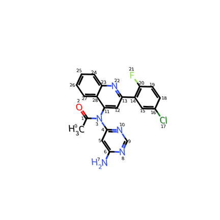 CC(=O)N(c1cc(N)ncn1)c1cc(-c2cc(Cl)ccc2F)nc2ccccc12